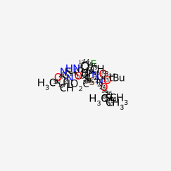 C#C[C@H](C)Oc1cnc(C(=O)Nc2ccc(F)c([C@@]3(C)N=C(N(COCC[Si](C)(C)C)C(=O)OC(C)(C)C)S[C@@]4(C(=O)O)C[C@H]43)c2)cn1